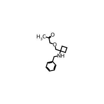 CC(=O)COCC1(NCc2ccccc2)CCC1